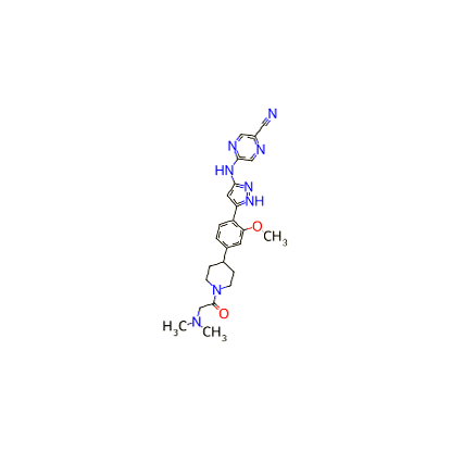 COc1cc(C2CCN(C(=O)CN(C)C)CC2)ccc1-c1cc(Nc2cnc(C#N)cn2)n[nH]1